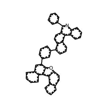 c1ccc(-c2nc3ccccc3c3c2ccc2c(-c4cccc(-c5cc6ccccc6c6c5oc5ccc7ccccc7c56)c4)cccc23)cc1